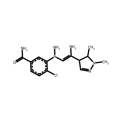 CC1C(/C(N)=C/N(N)c2cc(C(N)=O)ccc2Cl)C=NN1C